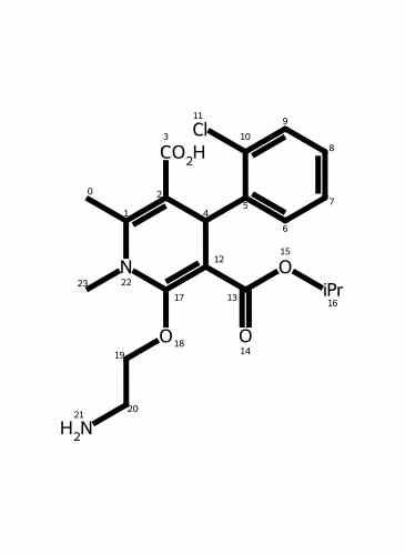 CC1=C(C(=O)O)C(c2ccccc2Cl)C(C(=O)OC(C)C)=C(OCCN)N1C